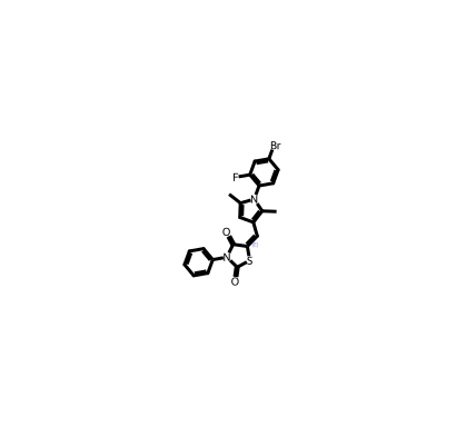 Cc1cc(/C=C2/SC(=O)N(c3ccccc3)C2=O)c(C)n1-c1ccc(Br)cc1F